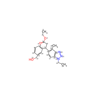 CCOC(=O)CC(c1cccc(CO)c1)c1ccc2c(nnn2CC)c1C